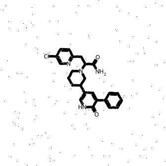 NC(=O)C(Cc1ccc(Cl)cn1)N1CCCC(c2c[nH]c(=O)c(-c3ccccc3)c2)C1